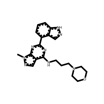 Cn1ncc2c(NCCCN3CCOCC3)nc(-c3cccc4[nH]ncc34)nc21